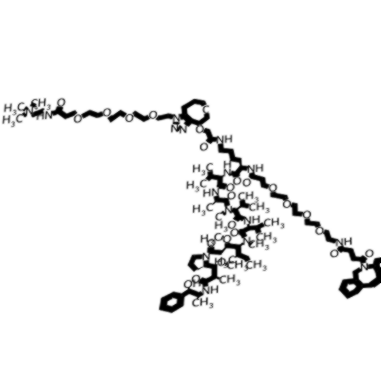 CC[C@H](C)[C@@H]([C@@H](CC(=O)N1CCC[C@H]1[C@H](OC)[C@@H](C)C(=O)N[C@H](C)[C@@H](O)c1ccccc1)OC)N(C)C(=O)[C@@H](NC(=O)[C@H](C(C)C)N(C)C(=O)[C@H](C)NC(=O)[C@@H](NC(=O)[C@@H](CCCCNC(=O)COC1CCCCCc2c1nnn2CCOCCOCCOCCOCCC(=O)NCC[N+](C)(C)C)NC(=O)CCOCCOCCOCCOCCNC(=O)CCC(=O)N1Cc2ccccc2C#Cc2ccccc21)C(C)C)C(C)C